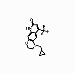 O=c1cc(C(F)(F)F)c2cc3c(cc2[nH]1)OCCN3CC1CC1